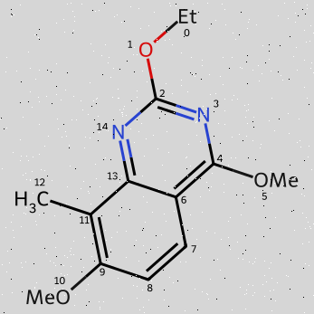 CCOc1nc(OC)c2ccc(OC)c(C)c2n1